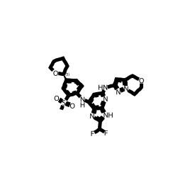 CS(=O)(=O)c1cc([C@@H]2CCCCO2)ccc1Nc1cc(Nc2cc3n(n2)CCOC3)nc2[nH]c(C(F)F)nc12